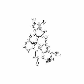 CCc1nc2c(Oc3cccc(CCC(=O)OC(C)(C)C)c3)nc(Oc3cc(C(=N)N)ccc3OC)nc2n1CC